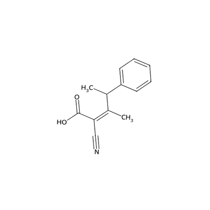 C/C(=C(\C#N)C(=O)O)C(C)c1ccccc1